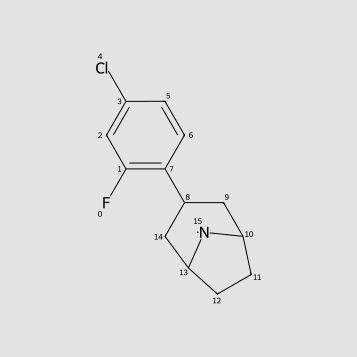 Fc1cc(Cl)ccc1C1CC2CCC(C1)[N]2